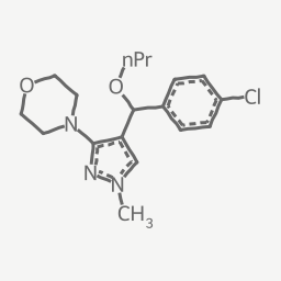 CCCOC(c1ccc(Cl)cc1)c1cn(C)nc1N1CCOCC1